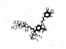 CC[C@](CCCNC(=O)OC(C)(C)C)(OCOC)c1ccc(OCCCc2ccc(Cl)c(Cl)c2)c(C(F)(F)F)c1